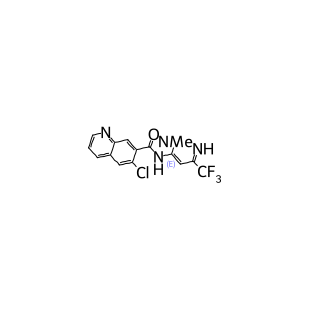 CN/C(=C\C(=N)C(F)(F)F)NC(=O)c1cc2ncccc2cc1Cl